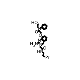 CC(C)CCNC(=O)CN1Cc2cccc(OCC(=O)N(CCO)c3ccccc3)c2N=C1N